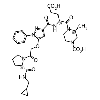 C[C@H]1CN(C(=O)O)CCN1C(=O)[C@H](CCC(=O)O)NC(=O)c1cc(OCC(=O)N2CCC[C@H]2C(=O)NCC2CC2)n(-c2ccccc2)n1